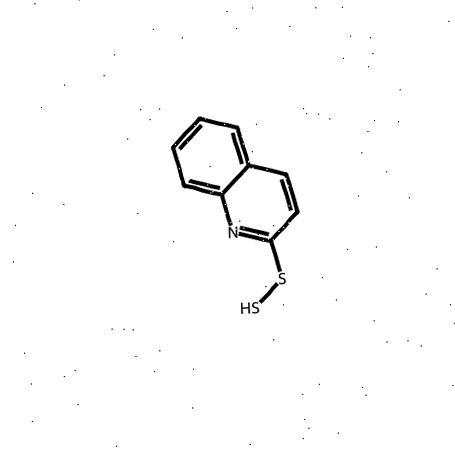 SSc1ccc2ccccc2n1